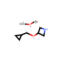 C1CC1COC1CNC1.CC(C)(C)OC=O